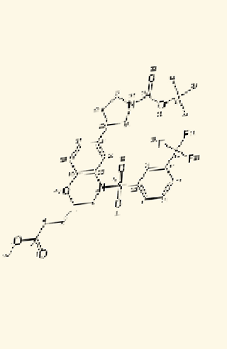 COC(=O)CC[C@H]1CN(S(=O)(=O)c2cccc(C(F)(F)F)c2)c2cc(C3CCN(C(=O)OC(C)(C)C)C3)ccc2O1